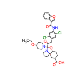 CCOC1CCN(C(OC2CCC(C(=O)O)CC2)(C(=O)Cc2cc(Cl)c(NC(=O)c3coc4ccccc34)cc2Cl)N2CCCC2)CC1